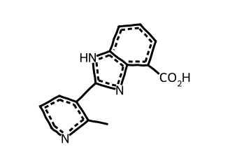 Cc1ncccc1-c1nc2c(C(=O)O)cccc2[nH]1